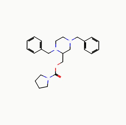 O=C(OCC1CN(Cc2ccccc2)CCN1Cc1ccccc1)N1CCCC1